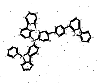 c1ccc(-n2c3ccccc3c3ccc(N(c4ccc(-c5ccc(-c6cccc7c6oc6ccccc67)cc5)cc4)c4cccc5c4oc4ccccc45)cc32)cc1